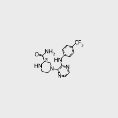 NC(=O)[C@H]1CN(c2nccnc2Nc2ccc(C(F)(F)F)cc2)CCN1